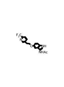 CC(=O)Nc1c[nH]c2ccc(OCCc3ccc(C(F)(F)F)nc3)cc12